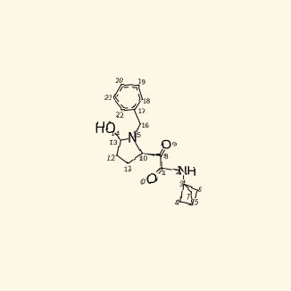 O=C(NC12CC(C1)C2)C(=O)[C@H]1CCC(O)N1Cc1ccccc1